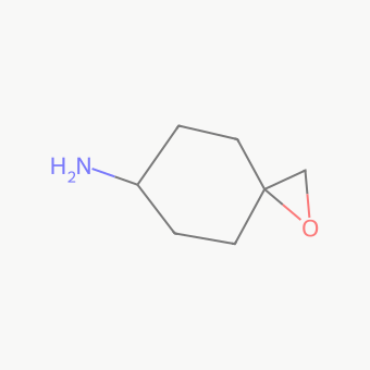 NC1CCC2(CC1)CO2